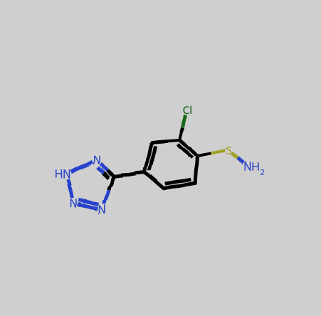 NSc1ccc(-c2nn[nH]n2)cc1Cl